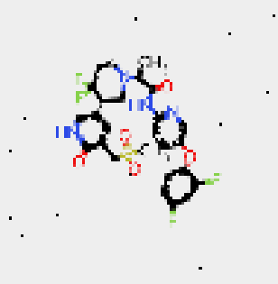 CC(C(=O)Nc1ccc(Oc2ccc(F)cc2F)cn1)N1CCC(F)(F)[C@@H](c2c[nH]c(=O)c(CS(C)(=O)=O)c2)C1